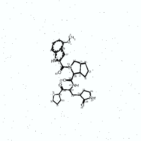 COc1cccc2[nH]c(C(=O)N3CC4CCCC4C3C(=O)NC(CC3CCNC3=O)C(=O)C3CCCO3)cc12